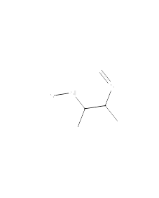 C=NC(C)C(C)NN